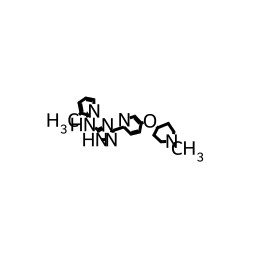 Cc1cccnc1Nc1nc(-c2ccc(OC3CCN(C)CC3)cn2)n[nH]1